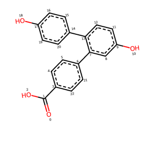 O=C(O)c1ccc(-c2cc(O)ccc2-c2ccc(O)cc2)cc1